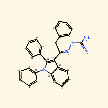 N=C(N)NN=C(Cc1ccccc1)c1c(-c2ccccc2)n(-c2ccccc2)c2ccccc12